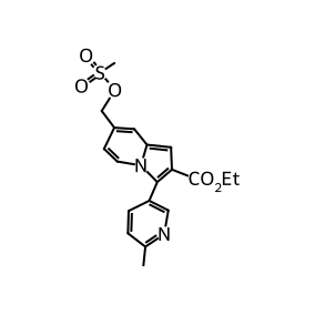 CCOC(=O)c1cc2cc(COS(C)(=O)=O)ccn2c1-c1ccc(C)nc1